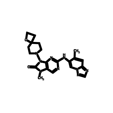 Cc1cc2ncnn2cc1Nc1ncc2c(n1)n(N1CCC3(CCO3)CC1)c(=O)n2C